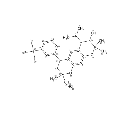 CN(C)C1c2cc3c(cc2OC(C)(C)C1O)OC(C)(C)CC3c1cccc(C(F)(F)F)c1.Cl